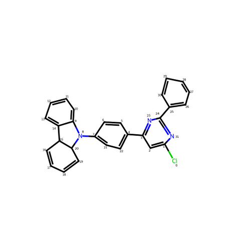 Clc1cc(-c2ccc(N3c4ccccc4C4C=CC=CC43)cc2)nc(-c2ccccc2)n1